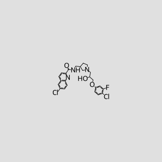 O=C(NCC1CCN(CC(O)COc2ccc(Cl)c(F)c2)C1)c1ccc2cc(Cl)ccc2n1